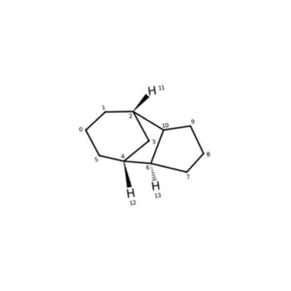 C1C[C@H]2C[C@@H](C1)[C@@H]1CCCC21